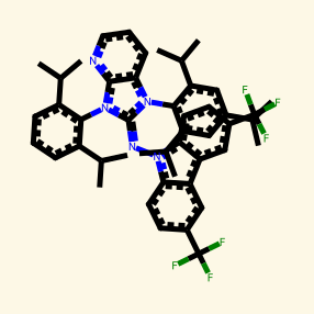 CC(C)c1cc(C(C)C)c(-n2/c(=N\n3c4ccc(C(F)(F)F)cc4c4cc(C(F)(F)F)ccc43)n(-c3c(C(C)C)cccc3C(C)C)c3ncccc32)c(C(C)C)c1